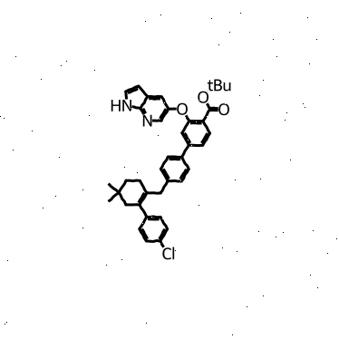 CC1(C)CCC(Cc2ccc(-c3ccc(C(=O)OC(C)(C)C)c(Oc4cnc5[nH]ccc5c4)c3)cc2)=C(c2ccc(Cl)cc2)C1